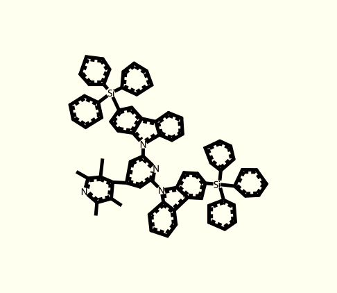 Cc1nc(C)c(C)c(-c2cc(-n3c4ccccc4c4cc([Si](c5ccccc5)(c5ccccc5)c5ccccc5)ccc43)nc(-n3c4ccccc4c4cc([Si](c5ccccc5)(c5ccccc5)c5ccccc5)ccc43)c2)c1C